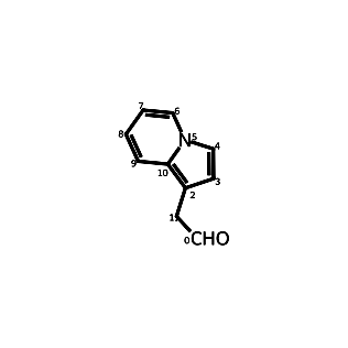 O=C[CH]c1ccn2ccccc12